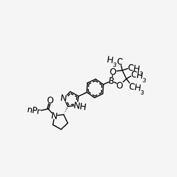 CCCC(=O)N1CCC[C@H]1c1ncc(-c2ccc(B3OC(C)(C)C(C)(C)O3)cc2)[nH]1